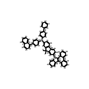 CC1(C)c2cc(N(c3ccc(-c4ccccc4)cc3)c3ccc(-c4cccc5ccccc45)cc3)ccc2-c2ccc(-n3c4ccccc4c4c5ccccc5c5ccccc5c43)cc21